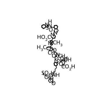 Cc1c(-c2ccc(N3CCc4cccc(C(=O)Nc5nc6ccccc6s5)c4C3)nc2C(=O)O)cnn1CC12CC3(C)CC(C)(C1)CC(OCCN(C)C(=O)OCc1ccc(CCCCNC(=O)CN4C(=O)CC[C@H]4COCCS(=O)(=O)O)cc1O[C@@H]1O[C@H](C(=O)O)C[C@H](O)[C@H]1O)(C3)C2